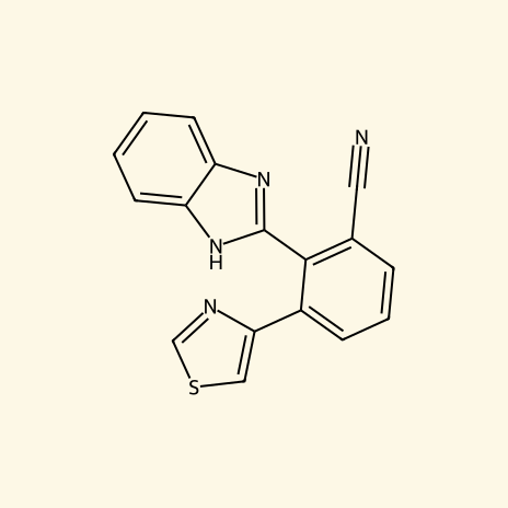 N#Cc1cccc(-c2cscn2)c1-c1nc2ccccc2[nH]1